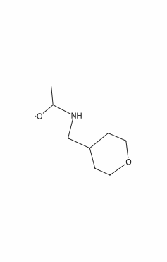 CC([O])NCC1CCOCC1